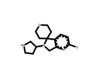 Clc1ccc2c(n1)CN(C1CCNC1)C21CCOCC1